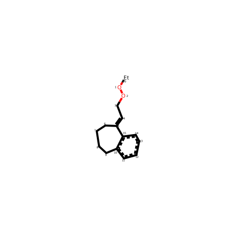 CCOOCC=C1CCCCc2ccccc21